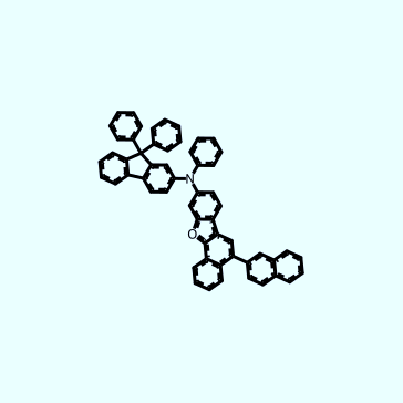 c1ccc(N(c2ccc3c(c2)C(c2ccccc2)(c2ccccc2)c2ccccc2-3)c2ccc3c(c2)oc2c4ccccc4c(-c4ccc5ccccc5c4)cc32)cc1